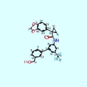 O=C(Nc1cc(-c2cccc(CO)c2)cc(C(F)(F)F)c1)C1(c2ccc3c(c2)OCO3)CC1